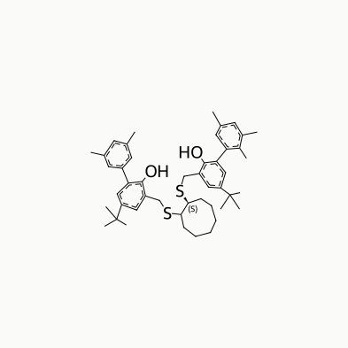 Cc1cc(C)cc(-c2cc(C(C)(C)C)cc(CSC3CCCCCC[C@@H]3SCc3cc(C(C)(C)C)cc(-c4cc(C)cc(C)c4C)c3O)c2O)c1